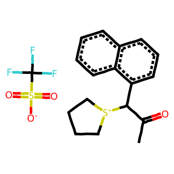 CC(=O)C(c1cccc2ccccc12)[S+]1CCCC1.O=S(=O)([O-])C(F)(F)F